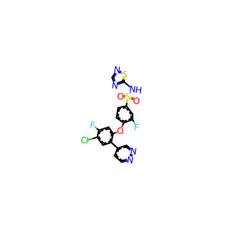 O=S(=O)(Nc1ncns1)c1ccc(Oc2cc(F)c(Cl)cc2-c2ccnnc2)c(F)c1